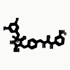 C[C@]1(Cc2cc(F)cc(F)c2)NC(=N)N(Cc2ccc(CNC(=O)Nc3cccc(N)c3)cc2)C1=O